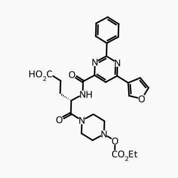 CCOC(=O)ON1CCN(C(=O)[C@H](CCC(=O)O)NC(=O)c2cc(-c3ccoc3)nc(-c3ccccc3)n2)CC1